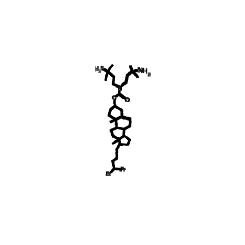 CCC(CCCC1CCC2C3CC=C4CC(OC(=O)N(CCC(C)(C)N)CCC(C)(C)N)CCC4(C)C3CCC12C)C(C)C